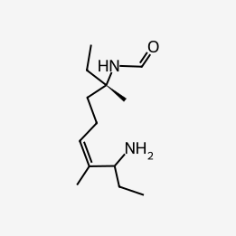 CCC(N)/C(C)=C\CC[C@](C)(CC)NC=O